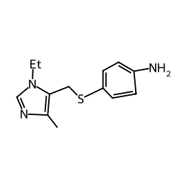 CCn1cnc(C)c1CSc1ccc(N)cc1